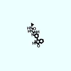 O=C(Nc1nc2cc(-c3n[nH]c(=O)c4ccccc34)ccc2[nH]1)NC1CC1